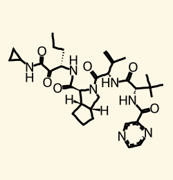 C=C(C)[C@H](NC(=O)[C@@H](NC(=O)c1cnccn1)C(C)(C)C)C(=O)N1C[C@@H]2CCC[C@@H]2[C@H]1C(=O)N[C@@H](CCC)C(=O)C(=O)NC1CC1